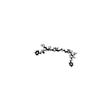 O=C(NSC(CCO)C(=O)Nc1nnc(CCSCCc2nnc(NC(=O)[C@H](CO)NC(=O)OCc3ccccc3)s2)s1)OCc1ccccc1